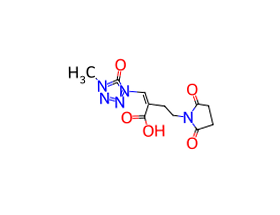 Cn1nnn(C=C(CCN2C(=O)CCC2=O)C(=O)O)c1=O